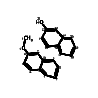 COc1ccc2ccccc2c1.Oc1ccc2ccccc2c1